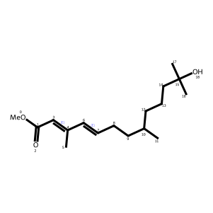 COC(=O)/C=C(C)/C=C/CCC(C)CCCC(C)(C)O